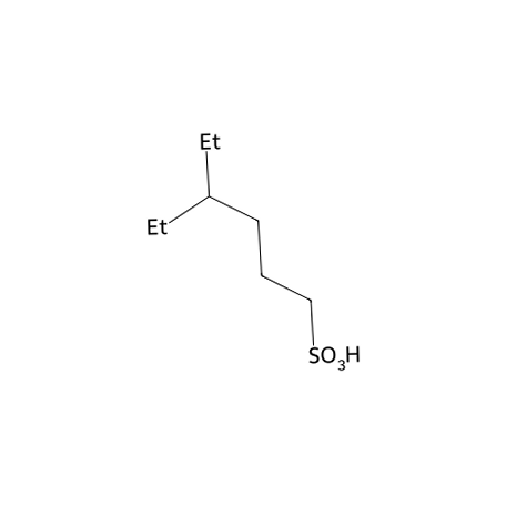 CCC(CC)CCCS(=O)(=O)O